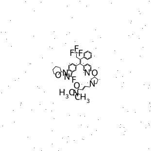 CN(C)C(=O)/C=C/CN1CC[C@@H](Oc2ccc(/C(=C(/CC(F)(F)F)c3ccccc3)c3ccc4c(c3)c(F)nn4C3CCCCO3)cn2)C1